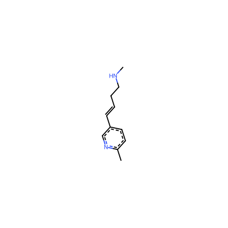 CNCC/C=C/c1ccc(C)nc1